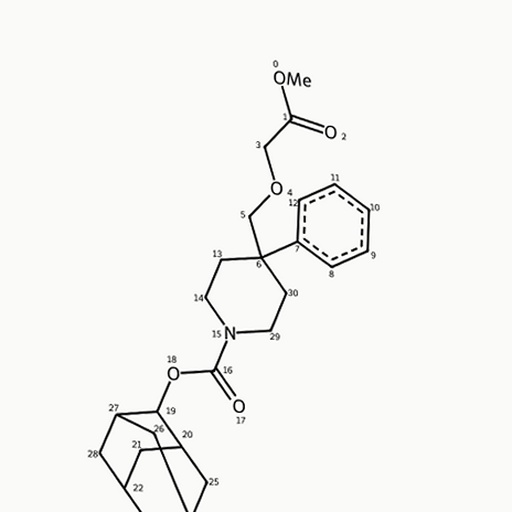 COC(=O)COCC1(c2ccccc2)CCN(C(=O)OC2C3CC4CC(C3)CC2C4)CC1